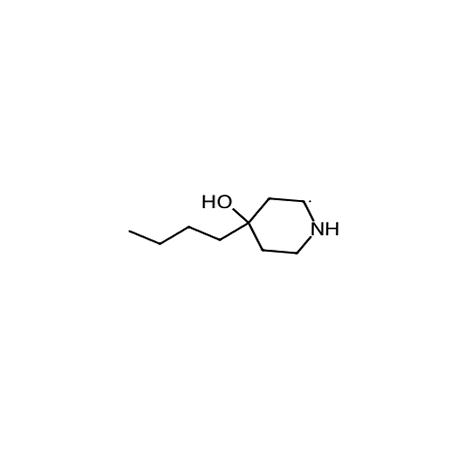 CCCCC1(O)C[CH]NCC1